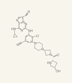 N#Cc1cc(Nc2nc(NC3CC3)c3ncc(C#N)n3n2)c(Cl)c(N2CCN(C3CN(C(=O)[C@@H]4C[C@@H](O)CN4)C3)CC2)c1